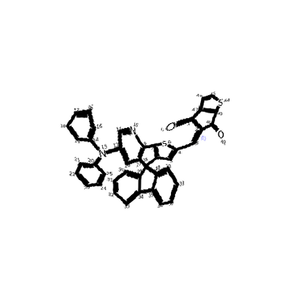 O=C1/C(=C\c2cc3c(s2)-c2ncc(N(c4ccccc4)c4ccccc4)cc2C32c3ccccc3-c3ccccc32)C(=O)c2sccc21